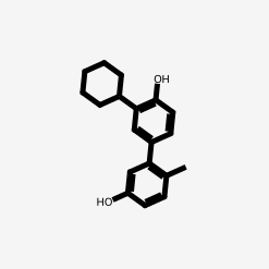 Cc1ccc(O)cc1-c1ccc(O)c(C2CCCCC2)c1